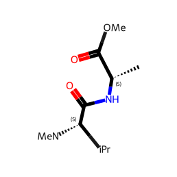 CN[C@H](C(=O)N[C@@H](C)C(=O)OC)C(C)C